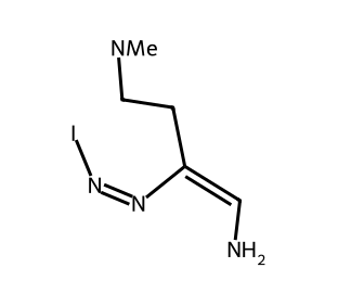 CNCCC(=C/N)/N=N\I